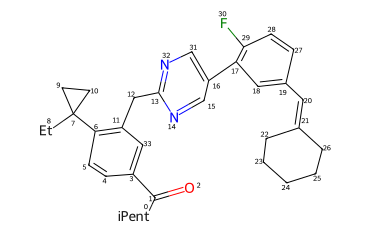 CCCC(C)C(=O)c1ccc(C2(CC)CC2)c(Cc2ncc(-c3cc(C=C4CCCCC4)ccc3F)cn2)c1